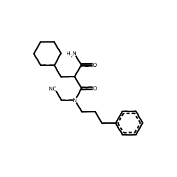 N#CCN(CCCc1ccccc1)C(=O)C(CC1CCCCC1)C(N)=O